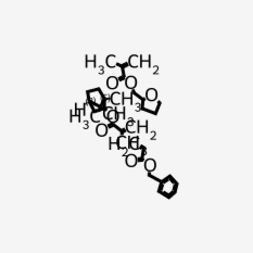 C=C(C)C(=O)OC1C[C@H]2CC[C@@]1(C)C2(C)C.C=C(C)C(=O)OCC1CCCO1.C=CC(=O)OCc1ccccc1